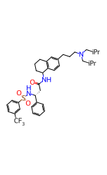 CC(C)CN(CCCc1ccc2c(c1)CCCC2NC(=O)C[C@@H](NS(=O)(=O)c1cccc(C(F)(F)F)c1)c1ccccc1)CC(C)C